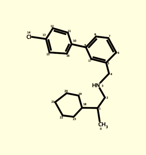 CC(CNCc1[c]ccc(-c2ccc(Cl)cc2)c1)C1CCCCC1